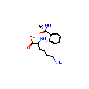 NC(=O)c1ccccc1.NCCCCC(N)C(=O)O.[Ag]